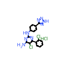 Cl.Nc1nc(Nc2ccc(-c3nn[nH]n3)cc2)nc(-c2ccccc2Cl)c1Cl